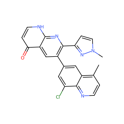 Cc1ccnc2c(Cl)cc(-c3cc4c(=O)cc[nH]c4nc3-c3ccn(C)n3)cc12